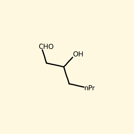 CCCCC(O)CC=O